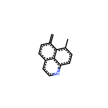 C=c1ccc2ccnc3ccc(C)c1c23